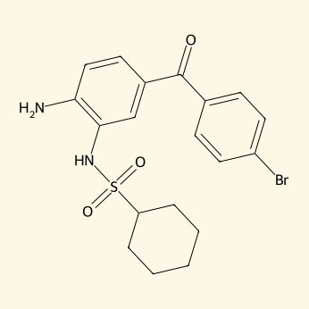 Nc1ccc(C(=O)c2ccc(Br)cc2)cc1NS(=O)(=O)C1CCCCC1